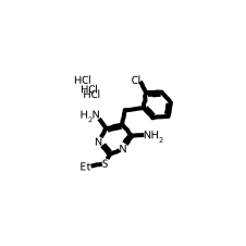 CCSc1nc(N)c(Cc2ccccc2Cl)c(N)n1.Cl.Cl.Cl